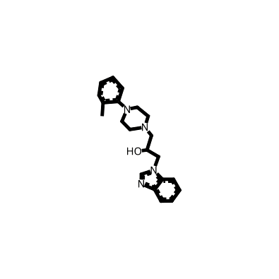 Cc1ccccc1N1CCN(CC(O)Cn2cnc3ccccc32)CC1